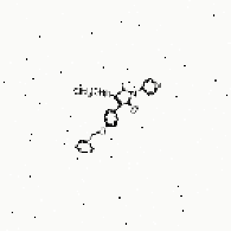 CC1C(N(C)O)=C(c2ccc(OCc3ccccc3)cc2)C(=O)N1c1ccncc1